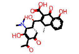 CC(=O)C1=C(O)[C@@H](N(C)C)[C@H]([C@@H](O)C2=C(C(=O)O)C(=O)c3c(O)cccc3[C@@H]2C)CC1=O